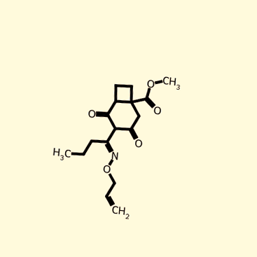 C=CCON=C(CCC)C1C(=O)CC2(C(=O)OC)CCC2C1=O